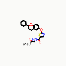 COC(=O)CNC(=O)c1cnc(Oc2ccc3c(c2)CCC(c2ccccc2)O3)s1